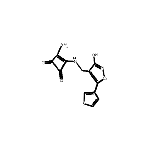 Nc1c(NCc2c(O)noc2-c2ccsc2)c(=O)c1=O